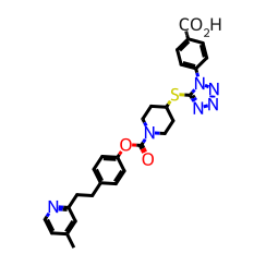 Cc1ccnc(CCc2ccc(OC(=O)N3CCC(Sc4nnnn4-c4ccc(C(=O)O)cc4)CC3)cc2)c1